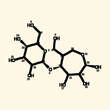 OCC1O[C@@H](O[C@@H]2C(CO)CO[C@@H](O)C(O)C2O)C(O)C(O)[C@H]1O